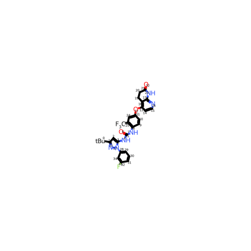 CC(C)(C)c1cc(NC(=O)Nc2ccc(Oc3ccnc4c3CCC(=O)N4)cc2C(F)(F)F)n(-c2cccc(F)c2)n1